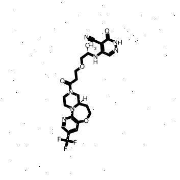 C[C@@H](COCCC(=O)N1CCN2c3ncc(C(F)(F)F)cc3OCC[C@@H]2C1)Nc1cn[nH]c(=O)c1C#N